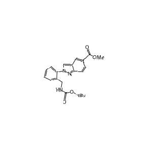 COC(=O)c1ccc2nn(-c3ccccc3CNC(=O)OC(C)(C)C)cc2c1